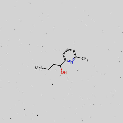 CNCCC(O)c1cccc(C(F)(F)F)n1